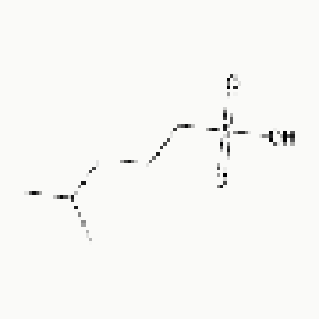 CC(C)CCCS(=O)(=O)O